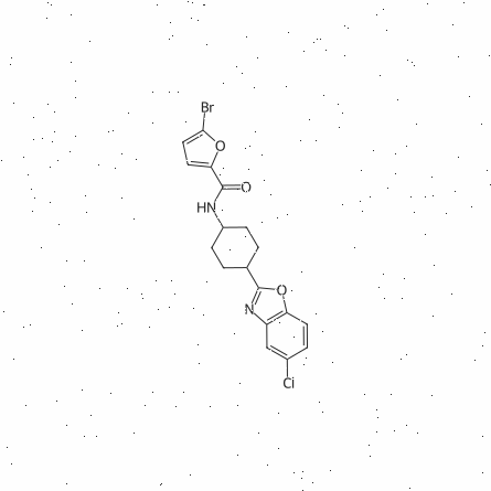 O=C(NC1CCC(c2nc3cc(Cl)ccc3o2)CC1)c1ccc(Br)o1